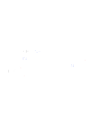 CNc1c(N)cc(-c2ccc(-c3ccccc3CN3CCOCC3)cc2)cc1C(=O)OC